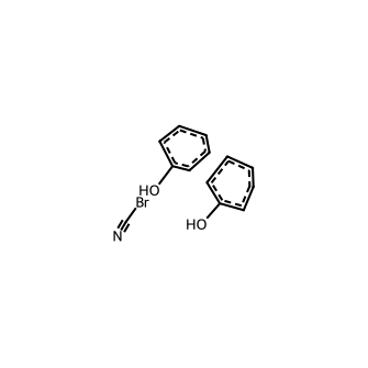 N#CBr.Oc1ccccc1.Oc1ccccc1